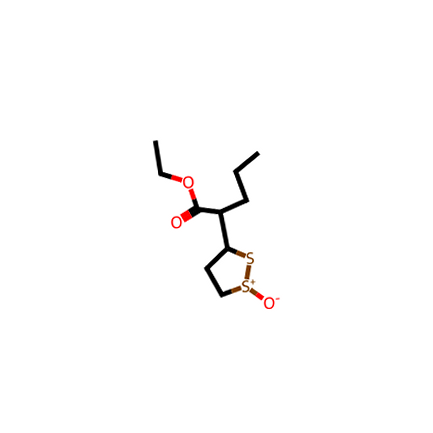 CCCC(C(=O)OCC)C1CC[S+]([O-])S1